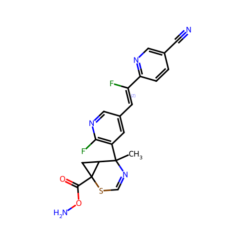 CC1(c2cc(/C=C(\F)c3ccc(C#N)cn3)cnc2F)N=CSC2(C(=O)ON)CC21